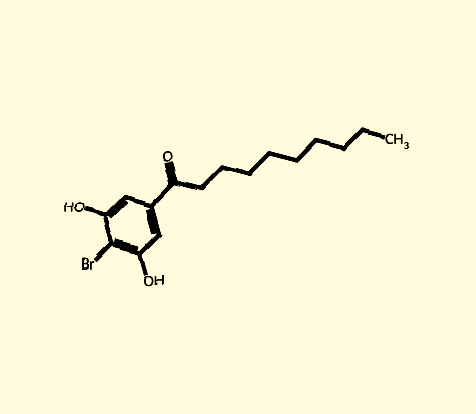 CCCCCCCCCC(=O)c1cc(O)c(Br)c(O)c1